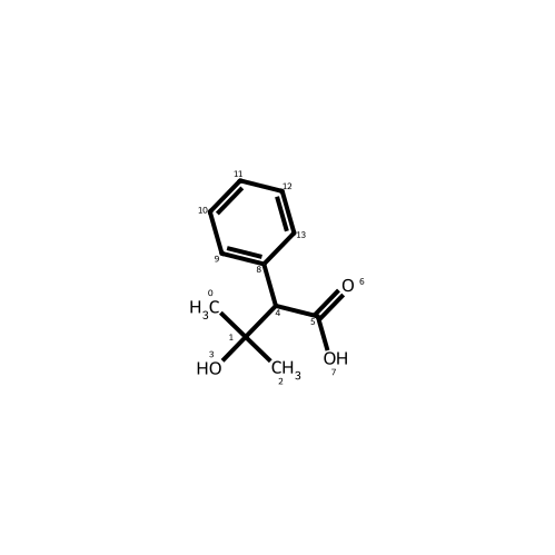 CC(C)(O)C(C(=O)O)c1ccccc1